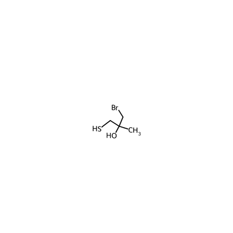 CC(O)(CS)CBr